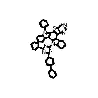 c1ccc(-c2ccc(-c3nc(-c4ccccc4)nc(-n4c5ccccc5c5c6c7ncncc7sc6c6c(c7ccccc7n6-c6ccccc6)c54)n3)cc2)cc1